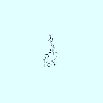 COC(=O)c1ccc(N2CC3(CC(N4CCN(CC(=O)NC(C(=O)N5C[C@H](O)C[C@H]5C(=O)NC(C)c5ccc(-c6scnc6C)cc5)C(C)(C)C)CC4)C3)C2)nc1